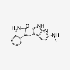 CNc1ccc2c(C=C(C(N)=O)c3ccccc3)c[nH]c2n1